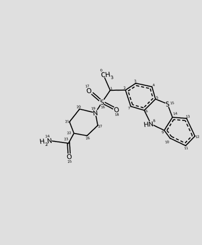 CC(c1ccc2c(c1)Nc1ccccc1S2)S(=O)(=O)N1CCC(C(N)=O)CC1